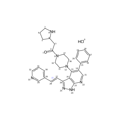 Cl.O=C(CC1CCCN1)N1CCN(c2c(-c3ccccc3)cnc3[nH]nc(/C=C/c4cccnc4)c23)CC1